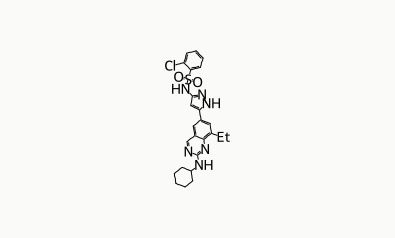 CCc1cc(-c2cc(NS(=O)(=O)c3ccccc3Cl)n[nH]2)cc2cnc(NC3CCCCC3)nc12